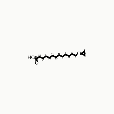 C1CC1.CCCCCCCCCCCCCC(=O)O